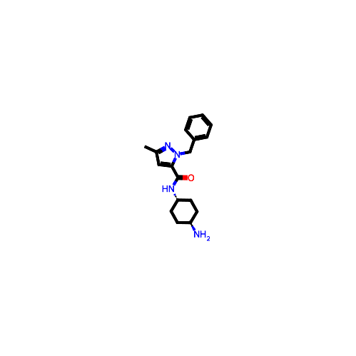 Cc1cc(C(=O)N[C@H]2CC[C@H](N)CC2)n(Cc2ccccc2)n1